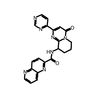 O=C(NC1CCCn2c1nc(-c1ccncn1)cc2=O)c1ccc2ncccc2n1